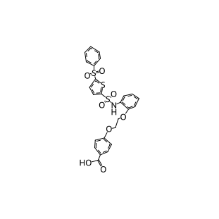 O=C(O)c1ccc(OCCOc2ccccc2NS(=O)(=O)c2ccc(S(=O)(=O)c3ccccc3)s2)cc1